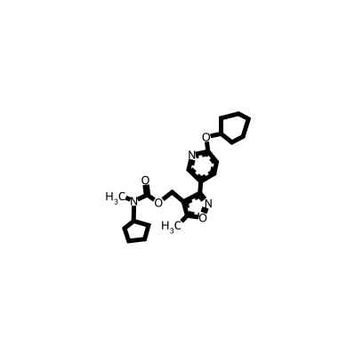 Cc1onc(-c2ccc(OC3CCCCC3)nc2)c1COC(=O)N(C)C1CCCC1